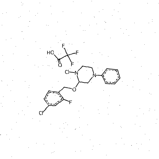 Fc1cc(Cl)ccc1COC1CN(c2ccccc2)CCN1Cl.O=C(O)C(F)(F)F